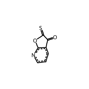 O=C1C(=S)Oc2ncccc21